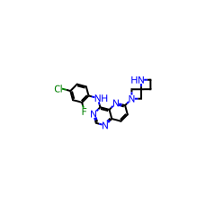 Fc1cc(Cl)ccc1Nc1ncnc2ccc(N3CC4(CCN4)C3)nc12